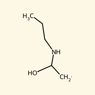 [CH2]C(O)NCCC